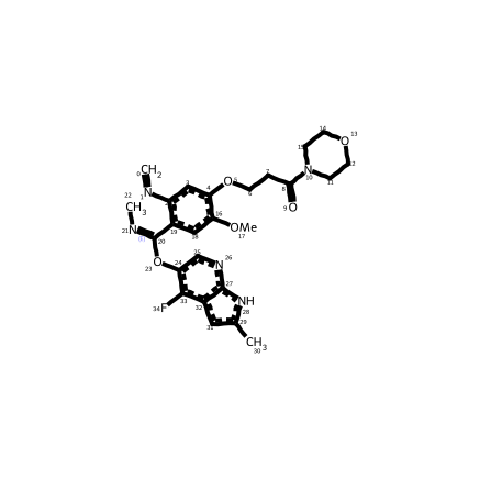 C=Nc1cc(OCCC(=O)N2CCOCC2)c(OC)cc1/C(=N\C)Oc1cnc2[nH]c(C)cc2c1F